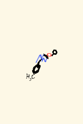 Cc1ccc(-c2ncc(OCc3ccccc3)cn2)cc1